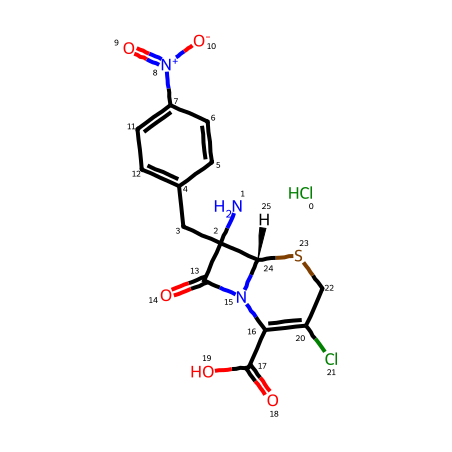 Cl.NC1(Cc2ccc([N+](=O)[O-])cc2)C(=O)N2C(C(=O)O)=C(Cl)CS[C@H]21